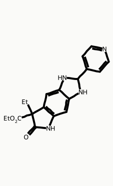 CCOC(=O)C1(CC)C(=O)Nc2cc3c(cc21)NC(c1ccncc1)N3